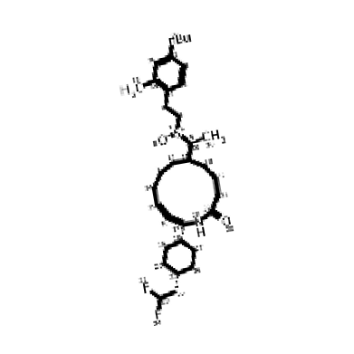 CCCCc1ccc(CC[S+]([O-])[C@@H](C)C2CCCC=C=C([C@H]3CC[C@@H](CC(F)F)CC3)NC(=O)CCC2)c(C)c1